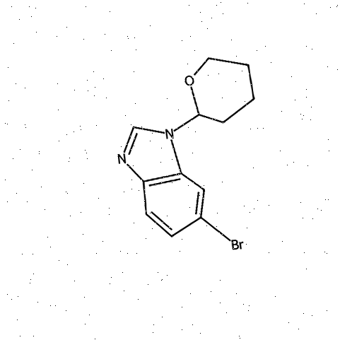 Brc1ccc2ncn(C3CCCCO3)c2c1